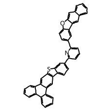 c1cc(-c2ccc3c(c2)sc2cc4c5ccccc5c5ccccc5c4cc23)nc(-c2ccc3oc4cc5ccccc5cc4c3c2)c1